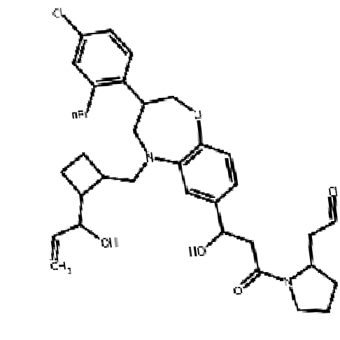 C=CCC1CCCN1C(=O)CC(O)c1ccc2c(c1)N(CC1CCC1C(O)C=C)CC(c1ccc(Cl)cc1CCC)CO2